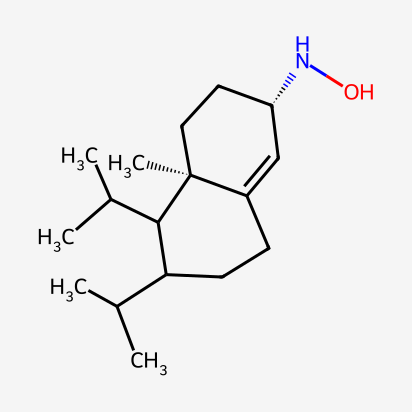 CC(C)C1CCC2=C[C@@H](NO)CC[C@]2(C)C1C(C)C